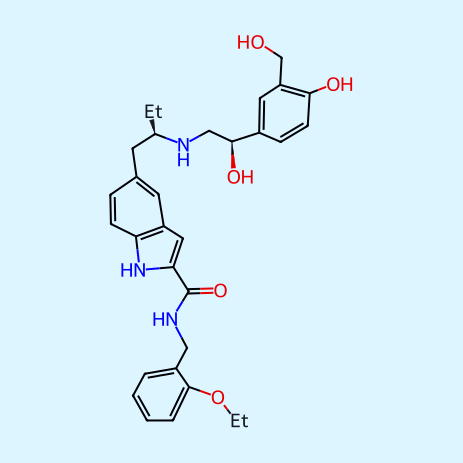 CCOc1ccccc1CNC(=O)c1cc2cc(C[C@@H](CC)NC[C@H](O)c3ccc(O)c(CO)c3)ccc2[nH]1